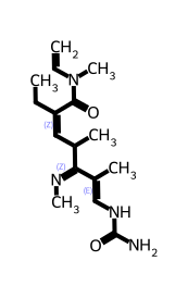 C=CN(C)C(=O)/C(=C\C(C)C(=N/C)/C(C)=C/NC(N)=O)CC